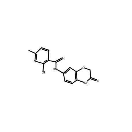 Cc1ccc(C(=O)Nc2ccc3c(c2)OCC(=O)N3)c(O)n1